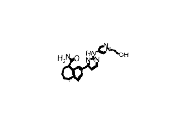 NC(=O)C1CCC[CH]c2ccc(-c3ccnc(Nc4cnn(CCO)c4)n3)cc21